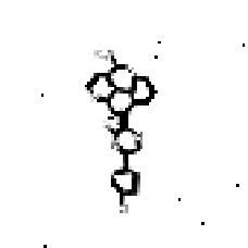 C#Cc1ccccc1-c1c(C(N)=O)ccnc1-c1nc2ncc(-c3ccc(Cl)cc3)nc2s1